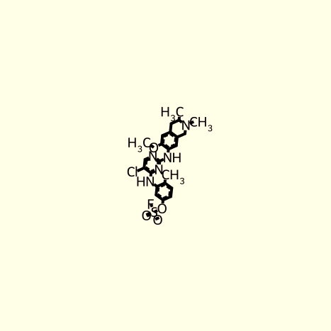 COc1cc2c(cc1Nc1ncc(Cl)c(Nc3cc(OS(=O)(=O)F)ccc3C)n1)CN(C)C(C)C2